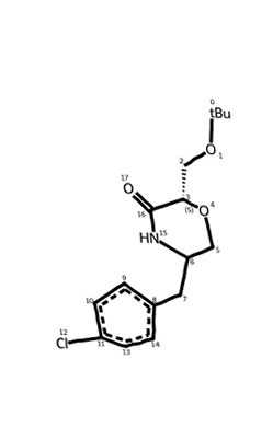 CC(C)(C)OC[C@@H]1OCC(Cc2ccc(Cl)cc2)NC1=O